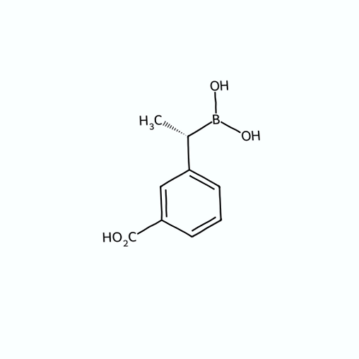 C[C@H](B(O)O)c1cccc(C(=O)O)c1